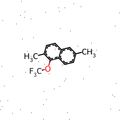 Cc1ccc2c(OC(F)(F)F)c(C)ccc2c1